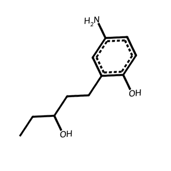 CCC(O)CCc1cc(N)ccc1O